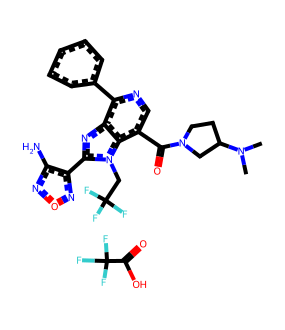 CN(C)C1CCN(C(=O)c2cnc(-c3ccccc3)c3nc(-c4nonc4N)n(CC(F)(F)F)c23)C1.O=C(O)C(F)(F)F